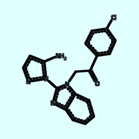 Nc1ccnn1-c1nc2ccccc2n1CC(=O)c1ccc(Cl)cc1